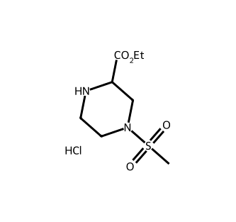 CCOC(=O)C1CN(S(C)(=O)=O)CCN1.Cl